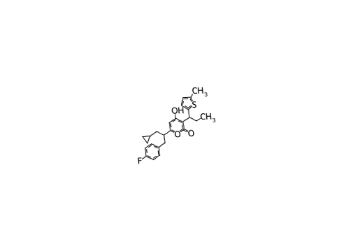 CCC(c1ccc(C)s1)c1c(O)cc(C(Cc2ccc(F)cc2)CC2CC2)oc1=O